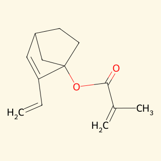 C=CC1=CC2CCC1(OC(=O)C(=C)C)C2